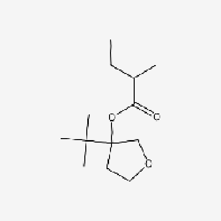 CCC(C)C(=O)OC1(C(C)(C)C)CCOC1